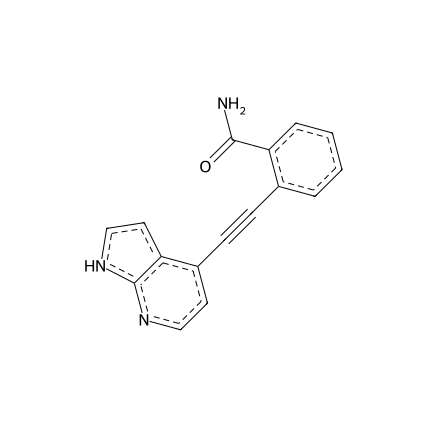 NC(=O)c1ccccc1C#Cc1ccnc2[nH]ccc12